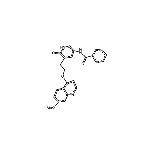 COc1ccc2c(OCCc3cc(NC(=O)c4ccccc4)c[nH]c3=O)ccnc2c1